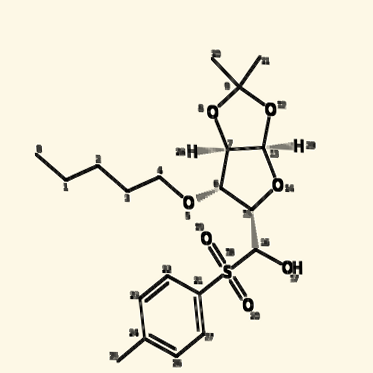 CCCCCO[C@@H]1[C@H]2OC(C)(C)O[C@H]2O[C@@H]1C(O)S(=O)(=O)c1ccc(C)cc1